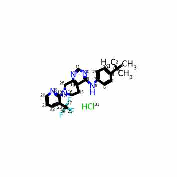 CC(C)(C)c1ccc(Nc2ncnc3c2CCN(c2ncccc2C(F)(F)F)C3)cc1.Cl